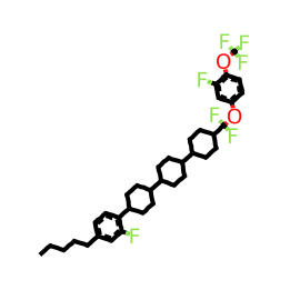 CCCCCc1ccc(C2CCC(C3CCC(C4CCC(C(F)(F)Oc5ccc(OC(F)(F)F)c(F)c5)CC4)CC3)CC2)c(F)c1